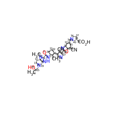 Cc1c(NC(=O)c2nc3c(n2C)CCN(C[C@H](C)O)C3)cccc1-c1cncc(-c2nc3cc(CN4CC[C@@H](C(=O)O)C4)cc(C#N)c3o2)c1C